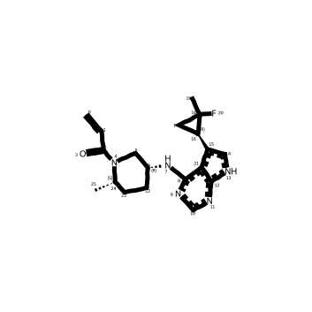 C=CC(=O)N1C[C@H](Nc2ncnc3[nH]cc([C@H]4CC4(C)F)c23)CC[C@@H]1C